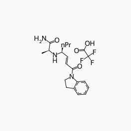 CCC[C@@H](/C=C/C(=O)N1CCc2ccccc21)N[C@@H](C)C(N)=O.O=C(O)C(F)(F)F